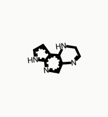 C1=Nc2cnc3[nH]ccc3c2NC1